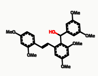 COc1cc(OC)cc(C(O)c2c(/C=C/c3ccc(OC)cc3OC)cc(OC)cc2OC)c1